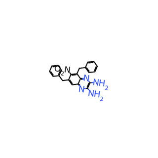 Nc1nc2cc(Cc3ccccc3)c([N+](=O)[O-])c(Cc3ccccc3)c2nc1N